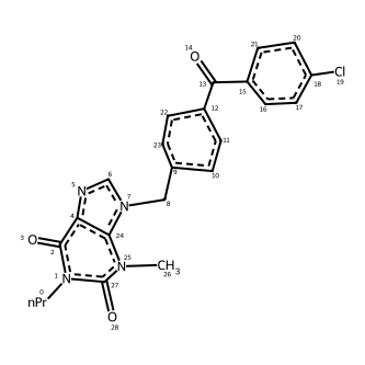 CCCn1c(=O)c2ncn(Cc3ccc(C(=O)c4ccc(Cl)cc4)cc3)c2n(C)c1=O